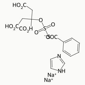 O=C(O)CC(CC(=O)O)(OS(=O)(=O)[S-])C(=O)O.O=C([O-])c1ccccc1.[Na+].[Na+].c1c[nH]cn1